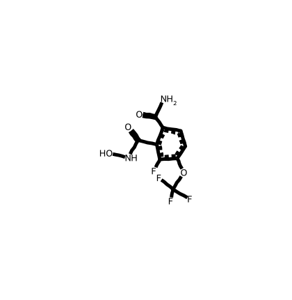 NC(=O)c1ccc(OC(F)(F)F)c(F)c1C(=O)NO